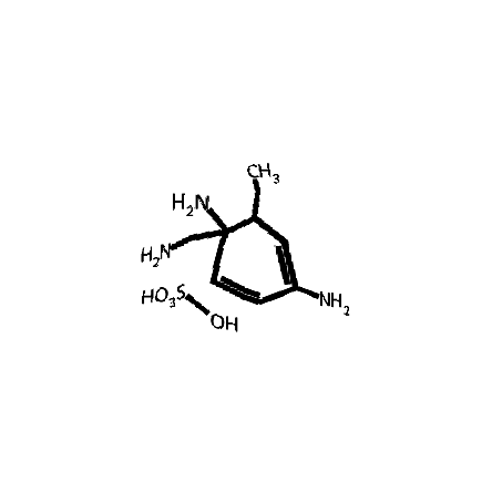 CC1C=C(N)C=CC1(N)N.O=S(=O)(O)O